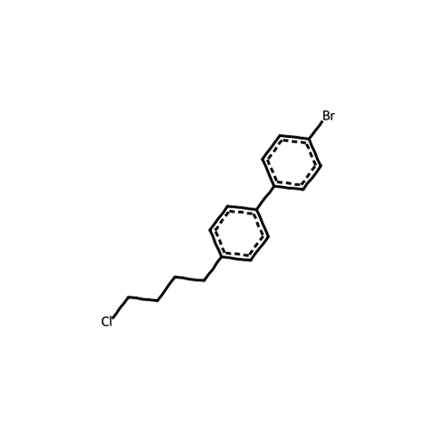 ClCCCCc1ccc(-c2ccc(Br)cc2)cc1